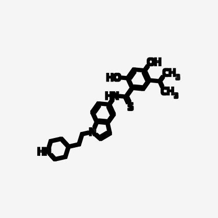 CC(C)c1cc(C(=S)Nc2ccc3c(ccn3CCC3CCNCC3)c2)c(O)cc1O